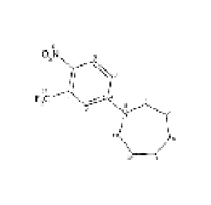 O=[N+]([O-])c1ccc(N2CCCCCC2)cc1C(F)(F)F